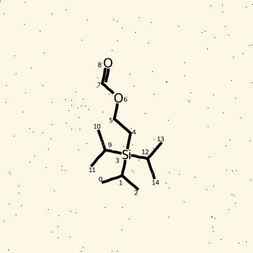 CC(C)[Si](CCOC=O)(C(C)C)C(C)C